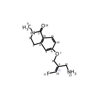 CN1CCc2cc(OC/C(=C\F)CN)ccc2C1=O